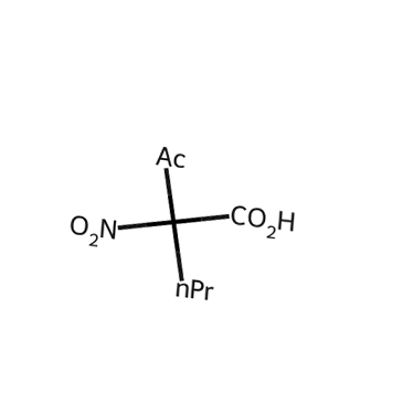 CCCC(C(C)=O)(C(=O)O)[N+](=O)[O-]